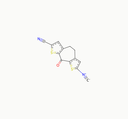 [C-]#[N+]c1cc2c(s1)C(=O)c1sc(C#N)cc1CC2